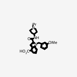 COc1cccc(Cn2c(C(=O)NC3CCN(C(C)C)CC3)cc3c(C(=O)O)cccc32)c1